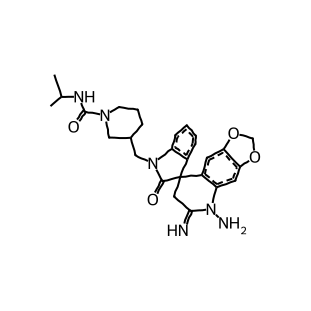 CC(C)NC(=O)N1CCCC(CN2C(=O)C3(CC(=N)N(N)c4cc5c(cc43)OCO5)c3ccccc32)C1